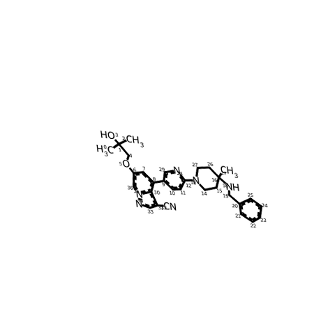 CC(C)(O)COc1cc(-c2ccc(N3CCC(C)(NCc4ccccc4)CC3)nc2)c2c(C#N)cnn2c1